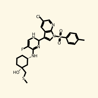 CSC[C@@]1(O)CCC[C@H](NC2=NC(c3cn(S(=O)(=O)c4ccc(C)cc4)c4ncc(Cl)cc34)NC=C2F)C1